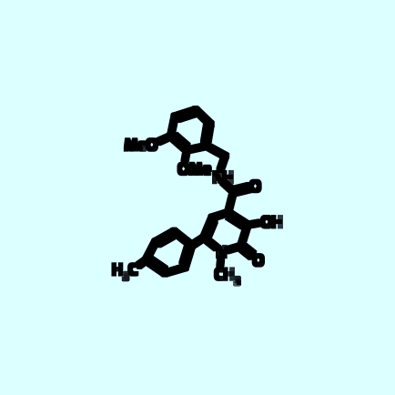 COc1cccc(CNC(=O)c2cc(-c3ccc(C)cc3)n(C)c(=O)c2O)c1OC